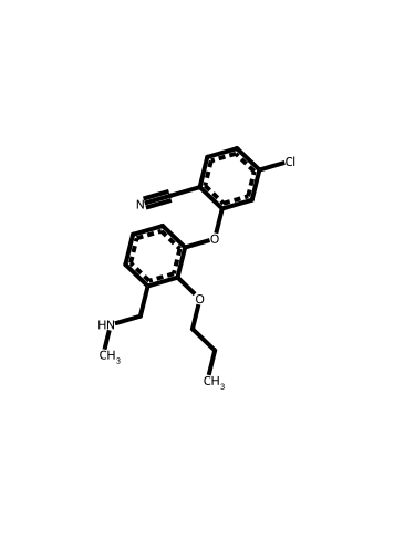 CCCOc1c(CNC)cccc1Oc1cc(Cl)ccc1C#N